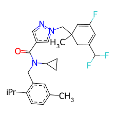 Cc1ccc(C(C)C)c(CN(C(=O)c2cnn(CC3(C)C=C(F)C=C(C(F)F)C3)c2)C2CC2)c1